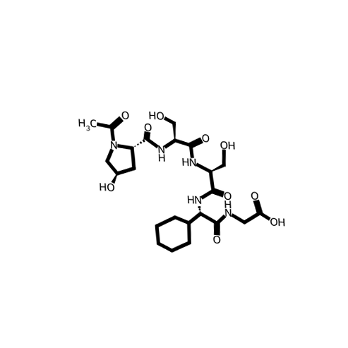 CC(=O)N1C[C@H](O)C[C@H]1C(=O)N[C@@H](CO)C(=O)N[C@@H](CO)C(=O)N[C@H](C(=O)NCC(=O)O)C1CCCCC1